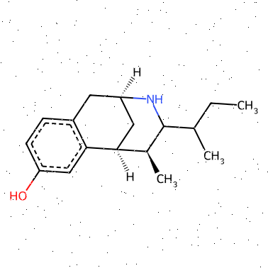 CCC(C)C1N[C@@H]2Cc3ccc(O)cc3[C@@H](C2)[C@@H]1C